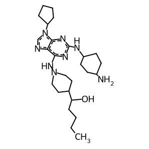 CCCCC(O)C1CCN(Nc2nc(NC3CCC(N)CC3)nc3c2ncn3C2CCCC2)CC1